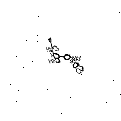 O=C(Nc1cc(-c2ccc(NS(=O)(=O)c3ccc4c(c3)CCO4)cc2)c2cc[nH]c2n1)C1CC1